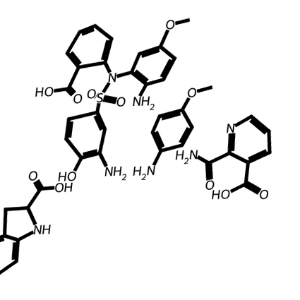 COc1ccc(N)c(N(c2ccccc2C(=O)O)S(=O)(=O)c2ccc(O)c(N)c2)c1.COc1ccc(N)cc1.NC(=O)c1ncccc1C(=O)O.O=C(O)C1Cc2ccccc2N1